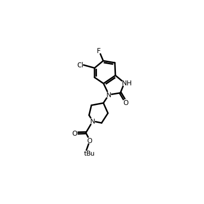 CC(C)(C)OC(=O)N1CCC(n2c(=O)[nH]c3cc(F)c(Cl)cc32)CC1